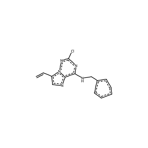 C=Cc1cnc2c(NCc3ccccc3)nc(Cl)nn12